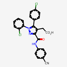 N#Cc1ccc(NC(=O)c2nn(-c3ccccc3Cl)c(-c3ccc(Cl)cc3)c2CC(=O)O)cc1